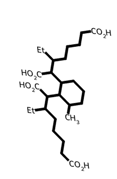 CCC(CCCCC(=O)O)C(C(=O)O)C1CCCC(C)C1C(C(=O)O)C(CC)CCCCC(=O)O